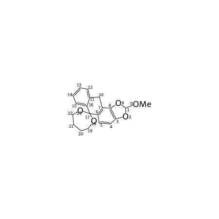 COC1Oc2ccc3c(c2O1)Cc1ccccc1C31OCCCCO1